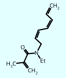 C=C/C=C\C=C/CN(CC)C(=O)C(=C)C